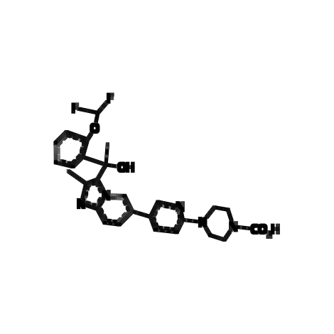 Cc1nc2ccc(-c3ccc(N4CCN(C(=O)O)CC4)nc3)cn2c1C(C)(O)c1ccccc1OC(F)F